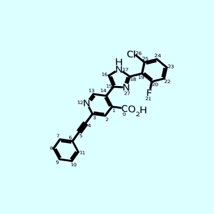 O=C(O)c1cc(C#Cc2ccccc2)ncc1-c1c[nH]c(-c2c(F)cccc2Cl)n1